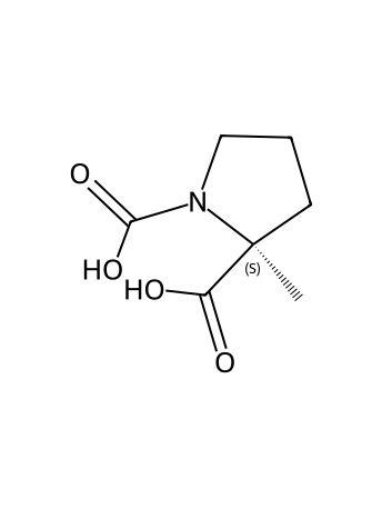 C[C@@]1(C(=O)O)CCCN1C(=O)O